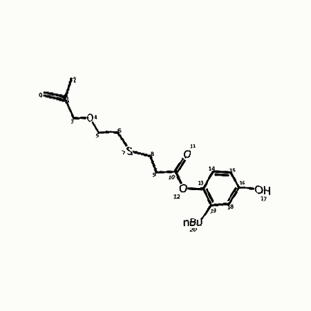 C=C(C)COCCSCCC(=O)Oc1ccc(O)cc1CCCC